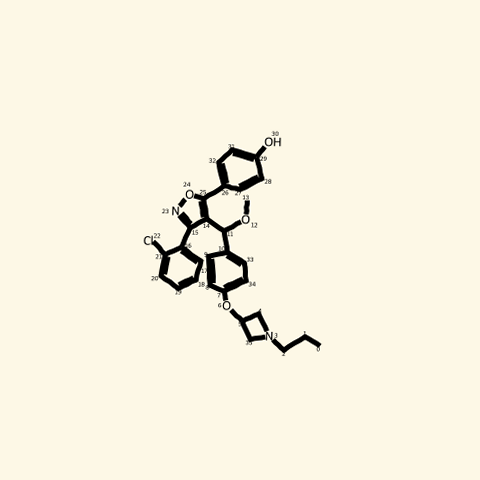 CCCN1CC(Oc2ccc(C(OC)c3c(-c4ccccc4Cl)noc3-c3ccc(O)cc3)cc2)C1